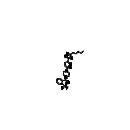 CCCCCc1noc(-c2ccc(N3CCN(C(=O)c4ccccc4C(F)(F)F)CC3)nn2)n1